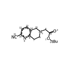 CC(C)(C)OC(=O)CN1CCc2nc(C#N)ccc2C1